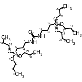 CCCO[Si](CCCNC(=O)NCCC[Si](OCCC)(OCCC)OCCC)(OCCC)OCCC